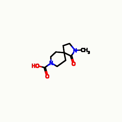 CN1CCC2(CCN(C(=O)O)CC2)C1=O